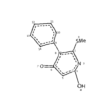 CSc1nc(O)cc(=O)n1-c1ccccc1